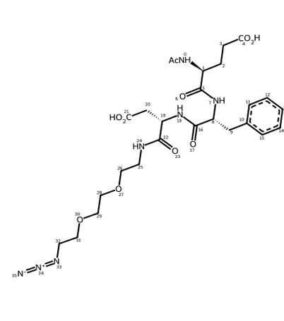 CC(=O)N[C@@H](CCC(=O)O)C(=O)N[C@H](Cc1ccccc1)C(=O)N[C@@H](CC(=O)O)C(=O)NCCOCCOCCN=[N+]=[N-]